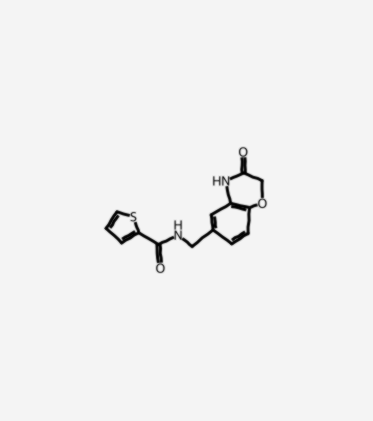 O=C1COc2ccc(CNC(=O)c3cccs3)cc2N1